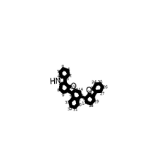 c1ccc2c(c1)[nH]c1ccc3c(oc4cc(-c5cccc6c5oc5ccccc56)c5ccccc5c43)c12